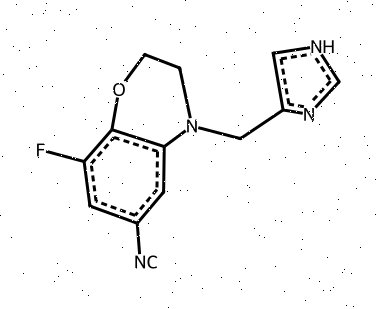 [C-]#[N+]c1cc(F)c2c(c1)N(Cc1c[nH]cn1)CCO2